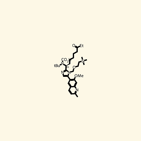 CCC(=O)CCCCC[C@@H](c1ncc(-c2cc3ccc(C)nc3cc2OC)n1COCC[Si](C)(C)C)N(C(=O)O)C(C)(C)C